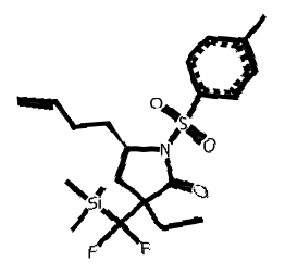 C=CCC[C@@H]1CC(CC)(C(F)(F)[Si](C)(C)C)C(=O)N1S(=O)(=O)c1ccc(C)cc1